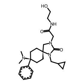 CN(C)[C@]1(c2ccccc2)CC[C@@]2(CC1)CN(CC(=O)NCCO)C(=O)N2CC1CC1